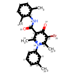 CCc1cccc(C)c1NC(=O)c1c(C)n(-c2cccc(C)c2)c(C)c(Br)c1=O